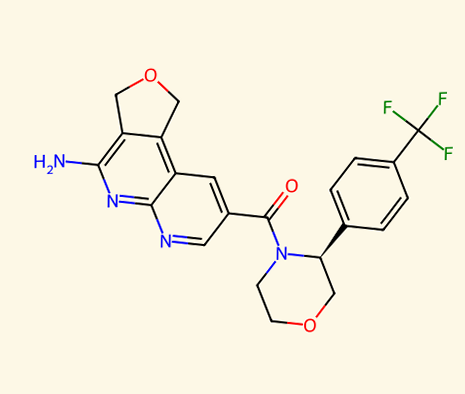 Nc1nc2ncc(C(=O)N3CCOC[C@@H]3c3ccc(C(F)(F)F)cc3)cc2c2c1COC2